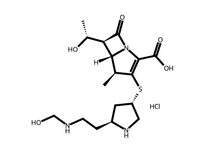 C[C@@H]1C(S[C@@H]2CN[C@@H](CCNCO)C2)=C(C(=O)O)N2C(=O)[C@H]([C@@H](C)O)[C@@H]12.Cl